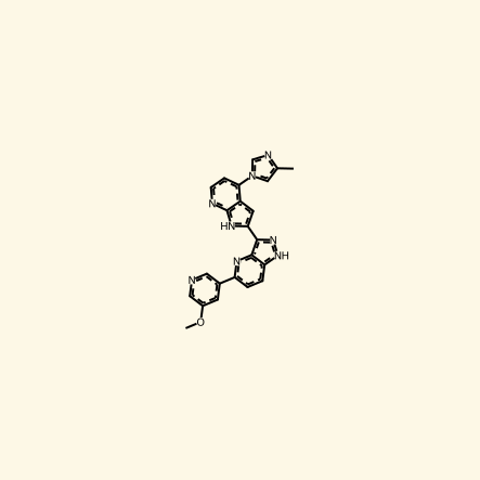 COc1cncc(-c2ccc3[nH]nc(-c4cc5c(-n6cnc(C)c6)ccnc5[nH]4)c3n2)c1